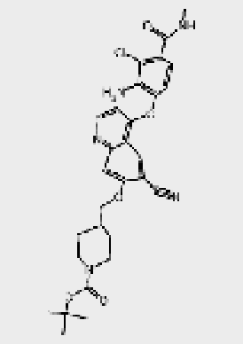 CNC(=O)c1ccc(Oc2ccnc3cc(OCC4CCN(C(=O)OC(C)(C)C)CC4)c(C#N)cc23)c(N)c1Cl